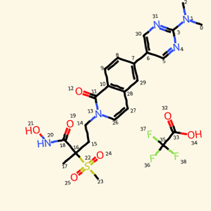 CN(C)c1ncc(-c2ccc3c(=O)n(CCC(C)(C(=O)NO)S(C)(=O)=O)ccc3c2)cn1.O=C(O)C(F)(F)F